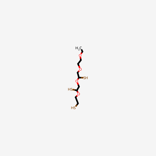 CCOCCOCC(S)OCC(S)OCCS